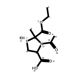 CCOC(=O)C1(C)SCC(C(=O)O)N1C(C)=O.[KH]